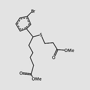 COC(=O)CCCCC(SCCC(=O)OC)c1cccc(Br)c1